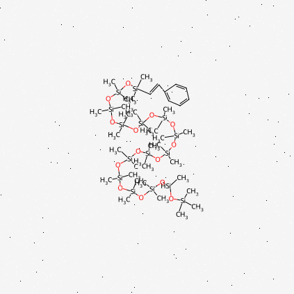 C[SiH](O[Si](C)(C)C)O[Si](C)(C)O[Si](C)(C)O[Si](C)(C)O[Si](C)(C)O[Si](C)(C)O[Si](C)(C)O[Si](C)(C)O[Si](C)(C)O[Si](C)(C)O[Si](C)(C)O[Si](C)(C)O[Si](C)(C)O[Si](C)(C)C=Cc1ccccc1